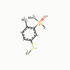 CCSc1ccc([N+](=O)[O-])c(P(C)(=O)OC)c1